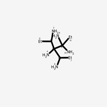 CCC(N)C(N)(C(N)CC)C(N)(N)CC